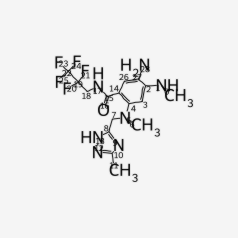 CNc1cc(N(C)Cc2nc(C)n[nH]2)c(C(=O)NCC(F)(F)C(F)(F)F)cc1N